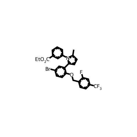 CCOC(=O)c1cccc(-n2c(C)ccc2-c2cc(Br)ccc2OCc2ccc(C(F)(F)F)cc2F)c1